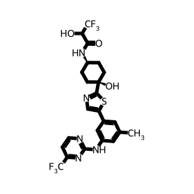 Cc1cc(Nc2nccc(C(F)(F)F)n2)cc(-c2cnc([C@]3(O)CC[C@@H](NC(=O)C(O)C(F)(F)F)CC3)s2)c1